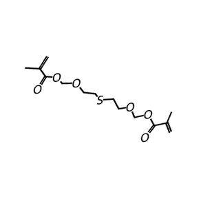 C=C(C)C(=O)OCOCCSCCOCOC(=O)C(=C)C